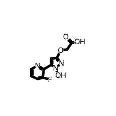 O=C(O)COc1cc(-c2ncccc2F)n(O)n1